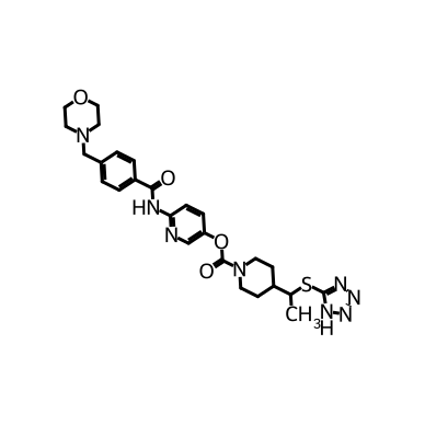 CC(Sc1nnn[nH]1)C1CCN(C(=O)Oc2ccc(NC(=O)c3ccc(CN4CCOCC4)cc3)nc2)CC1